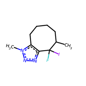 CC1CCCCc2c(nnn2C)C1(F)I